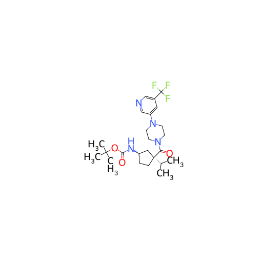 CC(C)[C@]1(C(=O)N2CCN(c3cncc(C(F)(F)F)c3)CC2)CC[C@@H](NC(=O)OC(C)(C)C)C1